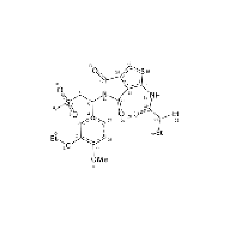 CCOc1cc(C(CS(C)(=O)=O)N2C(=O)c3csc(NC(=O)C(CC)CC)c3C2=O)ccc1OC